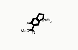 COC(=O)c1cc2c(cc1F)CC[C@H]2N